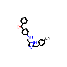 N#Cc1ccc(Cc2ncc(CNc3ccc(C(=O)c4ccccc4)cc3)[nH]2)cc1